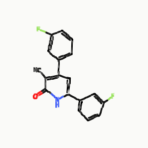 N#Cc1c(-c2cccc(F)c2)cc(-c2cccc(F)c2)[nH]c1=O